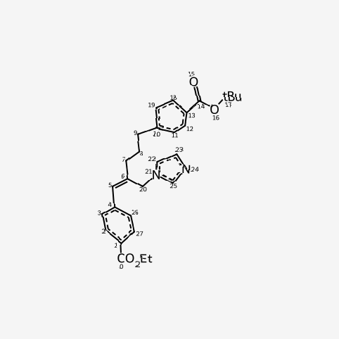 CCOC(=O)c1ccc(/C=C(/CCCc2ccc(C(=O)OC(C)(C)C)cc2)Cn2ccnc2)cc1